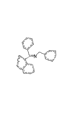 c1ccc(CN=C(c2ccccc2)c2cccc3ccccc23)cc1